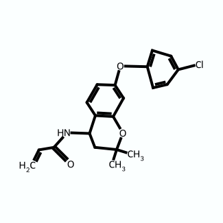 C=CC(=O)NC1CC(C)(C)Oc2cc(Oc3ccc(Cl)cc3)ccc21